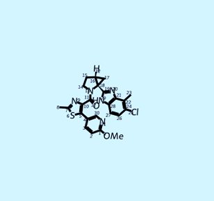 COc1ccc(-c2sc(C)nc2C(=O)N2CC[C@@H]3C[C@@]32c2nc3c(C)c(Cl)ccc3[nH]2)cn1